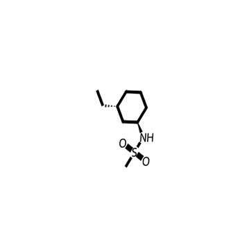 CC[C@@H]1CCC[C@@H](NS(C)(=O)=O)C1